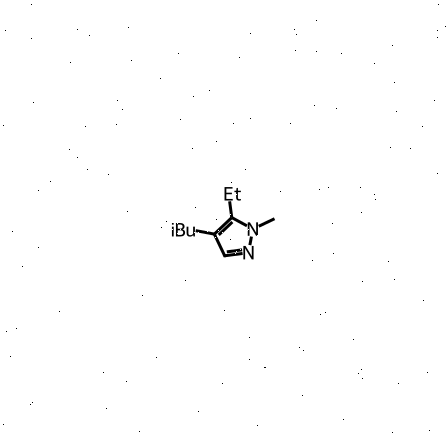 CCc1c(C(C)CC)cnn1C